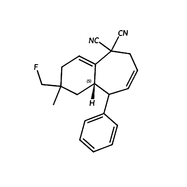 CC1(CF)CC=C2[C@@H](C1)C(c1ccccc1)C=CCC2(C#N)C#N